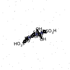 CC1=NN(c2ccc(S(=O)(=O)O)cc2)C(=O)C1/N=N/c1ccc2c(O)c(/N=N/c3cc(OCCO)c(/N=N/c4cc(C)c(S(=O)(=O)O)cc4C)cc3OCCO)c(S(=O)(=O)O)cc2c1